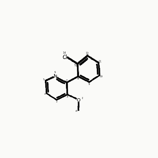 COc1cccnc1-c1ccccc1Cl